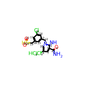 Cl.N=c1c(C(N)=O)cc(Cl)cn1Cc1cc(Cl)cc(C[SH](=O)=O)c1